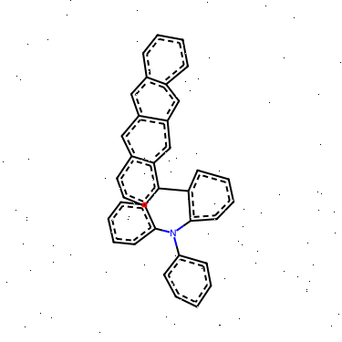 c1ccc(N(c2ccccc2)c2ccccc2-c2cccc3cc4cc5ccccc5cc4cc23)cc1